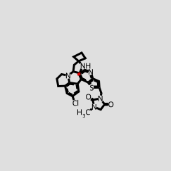 CN1CC(=O)N(Cc2cc3nccc(-c4cc(Cl)cc5c4N(C4CNC6(CCC6)C4)CCC5)c3s2)C1=O